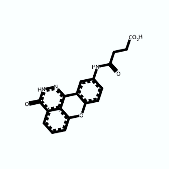 O=C(O)CCC(=O)Nc1ccc2c(c1)-c1n[nH]c(=O)c3cccc(c13)O2